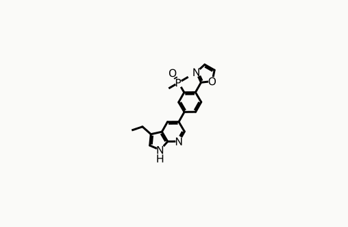 CCc1c[nH]c2ncc(-c3ccc(-c4ncco4)c(P(C)(C)=O)c3)cc12